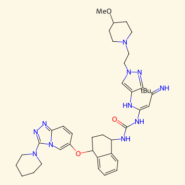 COC1CCN(CCn2cc(N/C(=C\C(=N)C(C)(C)C)NC(=O)NC3CCC(Oc4ccc5nnc(N6CCCCC6)n5c4)c4ccccc43)cn2)CC1